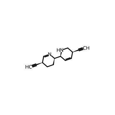 C#C[C@H]1C=N[C@@H]([C@@H]2C=C[C@H](C#C)CN2)CC1